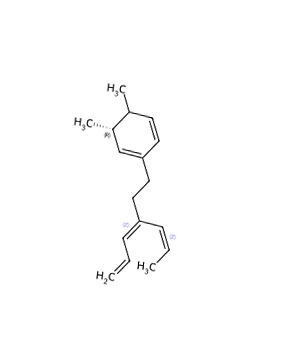 C=C/C=C(\C=C/C)CCC1=C[C@H](C)C(C)C=C1